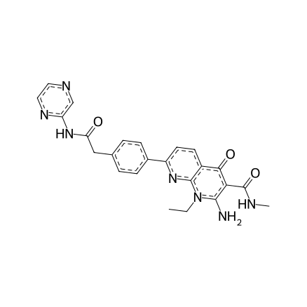 CCn1c(N)c(C(=O)NC)c(=O)c2ccc(-c3ccc(CC(=O)Nc4cnccn4)cc3)nc21